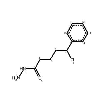 NNC(=O)CCCC(Cl)c1ccccc1